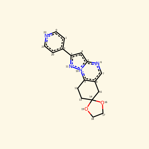 c1cc(-c2cc3ncc4c(n3n2)CCC2(C4)OCCO2)ccn1